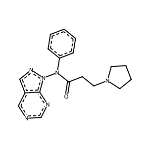 O=C(CCN1CCCC1)N(c1ccccc1)n1ncc2cncnc21